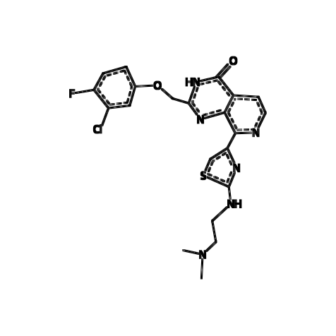 CN(C)CCNc1nc(-c2nccc3c(=O)[nH]c(COc4ccc(F)c(Cl)c4)nc23)cs1